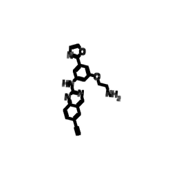 C#Cc1ccc2nc(Nc3cc(OCCN)cc(-c4ncco4)c3)ncc2c1